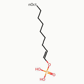 CCCCCCCCCCCCCC/C=C/OP(=O)(O)O